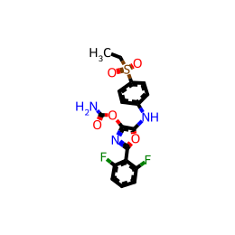 CCS(=O)(=O)c1ccc(Nc2oc(-c3c(F)cccc3F)nc2OC(N)=O)cc1